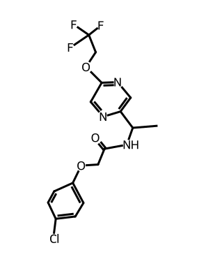 CC(NC(=O)COc1ccc(Cl)cc1)c1cnc(OCC(F)(F)F)cn1